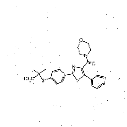 CC(C)(Sc1ccc(-c2nc(C(=O)N3CCOCC3)c(-c3ccccc3)s2)cc1)C(=O)O